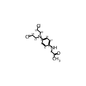 CC(=O)CNc1ccc(N(CCCl)CCCl)cc1